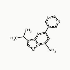 CC(C)c1cnn2c(N)cc(-c3cncnc3)nc12